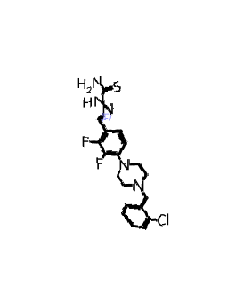 NC(=S)N/N=C/c1ccc(N2CCN(Cc3ccccc3Cl)CC2)c(F)c1F